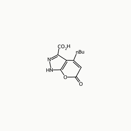 CCCCc1cc(=O)oc2[nH]nc(C(=O)O)c12